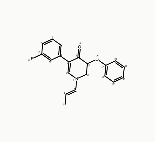 CC=CN1C=C(c2cccc(F)c2)C(=O)C(Oc2ccccc2)C1